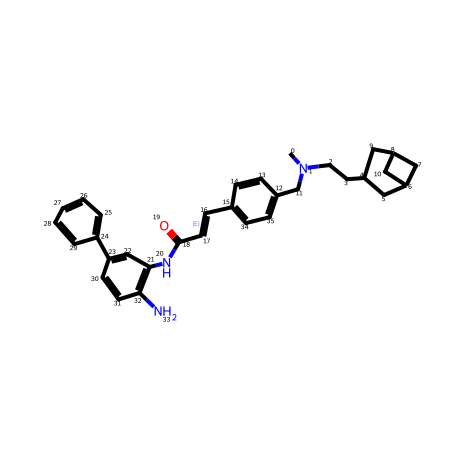 CN(CCC1CC2CC(C1)C2)Cc1ccc(/C=C/C(=O)Nc2cc(-c3ccccc3)ccc2N)cc1